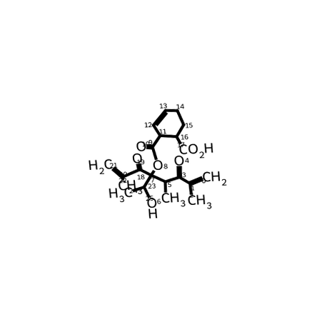 C=C(C)C(=O)C(C)C(OC(=O)C1C=CCCC1C(=O)O)(C(=O)C(=C)C)C(C)O